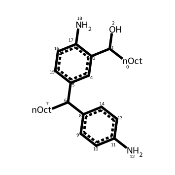 CCCCCCCCC(O)c1cc(C(CCCCCCCC)c2ccc(N)cc2)ccc1N